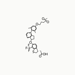 Cc1cc(OCCCS(C)(=O)=O)cc(C)c1-c1cccc2c1CCC2Oc1ccc2c(c1C(F)(F)F)SC[C@H]2CC(=O)O